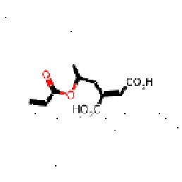 C=CC(=O)OC(C)CC(=CC(=O)O)C(=O)O